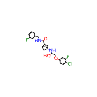 O=C(NCc1cccc(F)c1)C1CC2(NC(O)COc3ccc(Cl)c(F)c3)CC1C2